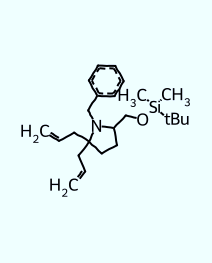 C=CCC1(CC=C)CCC(CO[Si](C)(C)C(C)(C)C)N1Cc1ccccc1